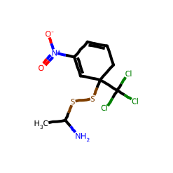 CC(N)SSC1(C(Cl)(Cl)Cl)C=C([N+](=O)[O-])C=CC1